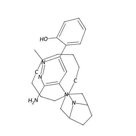 CC1CCCCC(N2C3CCC2CN(c2cc(-c4ccccc4O)nnc2N)C3)CCCC1